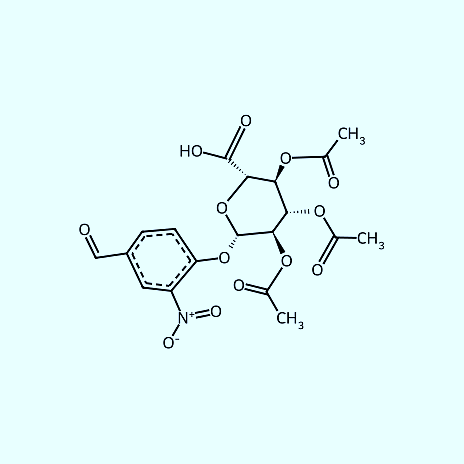 CC(=O)O[C@@H]1[C@@H](OC(C)=O)[C@H](Oc2ccc(C=O)cc2[N+](=O)[O-])O[C@H](C(=O)O)[C@H]1OC(C)=O